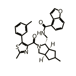 Cc1cccc(-c2sc(C)nc2C(=O)N2C[C@@H]3CC(C)C[C@@H]3[C@H]2CNC(=O)c2cccc3occc23)c1